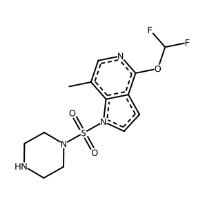 Cc1cnc(OC(F)F)c2ccn(S(=O)(=O)N3CCNCC3)c12